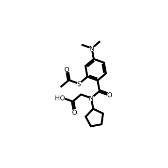 CC(=O)Sc1cc(N(C)C)ccc1C(=O)N(CC(=O)O)C1CCCC1